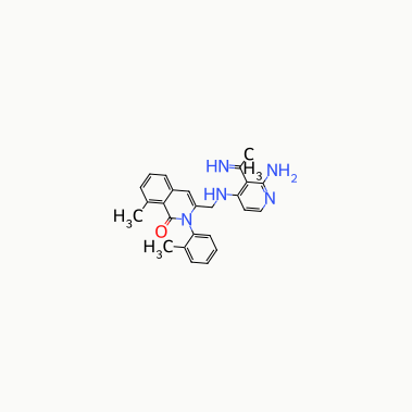 CC(=N)c1c(NCc2cc3cccc(C)c3c(=O)n2-c2ccccc2C)ccnc1N